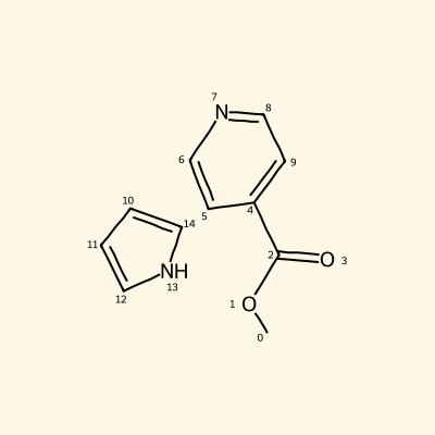 COC(=O)c1ccncc1.c1cc[nH]c1